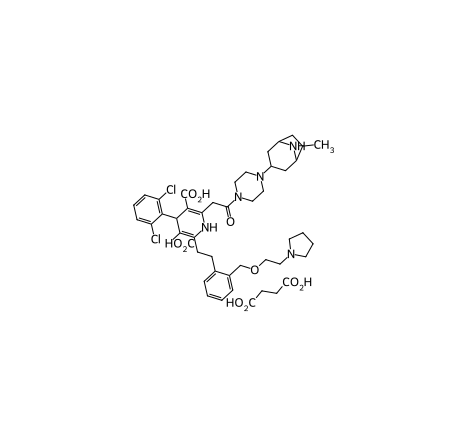 CC1CC2CC(N3CCN(C(=O)CC4=C(C(=O)O)C(c5c(Cl)cccc5Cl)C(C(=O)O)=C(CCc5ccccc5COCCN5CCCC5)N4)CC3)CC1N2.O=C(O)CCC(=O)O